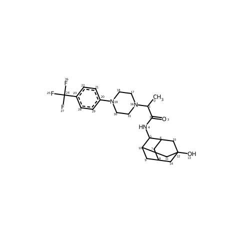 CC(C(=O)NC1C2CC3CC1CC(O)(C3)C2)N1CCN(c2ccc(C(F)(F)F)cc2)CC1